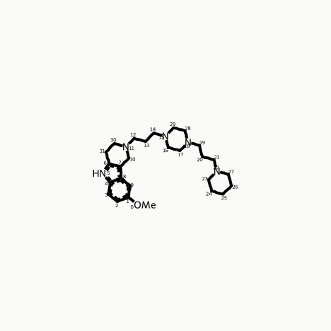 COc1ccc2[nH]c3c(c2c1)CN(CCCN1CCN(CCCN2CCCCC2)CC1)CC3